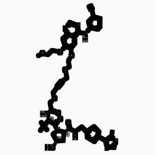 C#Cc1cccc(Nc2ncnc3cc(OCCOC)c(OCCOCC#CCOCC(=O)N[C@H](C(=O)N4C[C@@H](O)C[C@H]4C(=O)NCc4ccc(-c5scnc5C)cc4)C(C)(C)C)cc23)c1